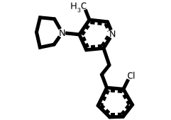 Cc1cnc(CCc2ccccc2Cl)cc1N1CCCCC1